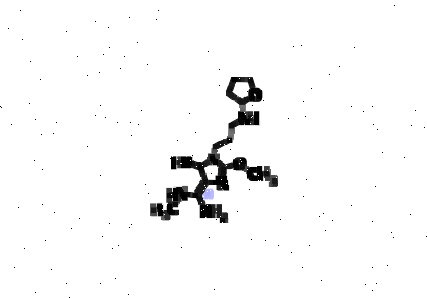 CN/C(N)=C1/N=C(OC)N(CCCNC2CCCO2)C1=N